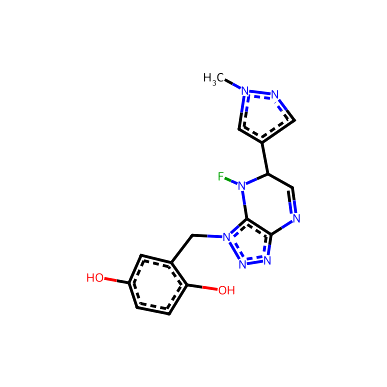 Cn1cc(C2C=Nc3nnn(Cc4cc(O)ccc4O)c3N2F)cn1